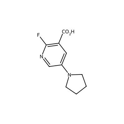 O=C(O)c1cc(N2CCCC2)cnc1F